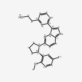 COc1ncc(F)cc1[C@H]1CCCN1c1ccc2ncc(-c3nccc(CCO)n3)n2n1